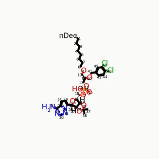 CCCCCCCCCCCCCCCCCCOC[C@H](COP(=O)(O)OC[C@H]1O[C@@](C)(c2ccc3c(N)ncnn23)[C@@H]2OC(C)(C)O[C@@H]21)OCc1ccc(Cl)c(Cl)c1